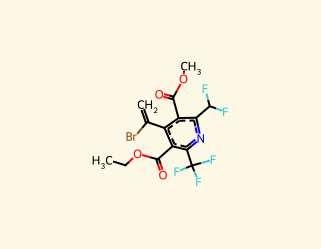 C=C(Br)c1c(C(=O)OC)c(C(F)F)nc(C(F)(F)F)c1C(=O)OCC